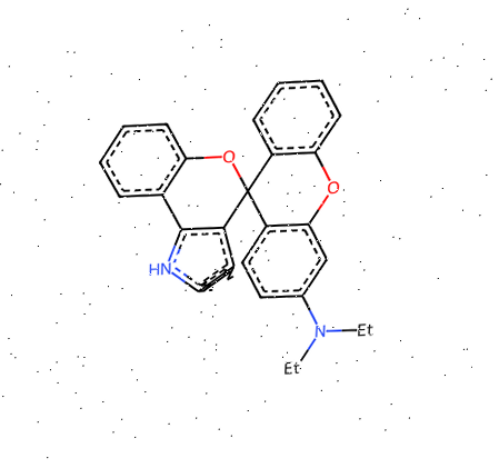 CCN(CC)c1ccc2c(c1)Oc1ccccc1C21Oc2ccccc2-c2[nH]c3ccccc3c21